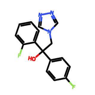 OC(Cn1cnnc1)(c1ccc(F)cc1)c1ccccc1F